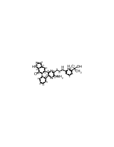 CC(C)(O)c1cccc(NCCc2nc(-c3cc(Cl)c4[nH]ncc4c3)c(-c3ccccc3)nc2N)n1